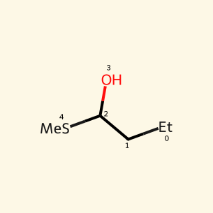 [CH2]CCC(O)SC